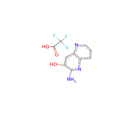 Nc1nc2cccnc2cc1O.O=C(O)C(F)(F)F